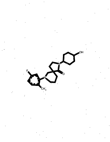 Cc1ccc(F)cc1N1CCCC2(CCN(C3CCC(O)CC3)C2=O)C1